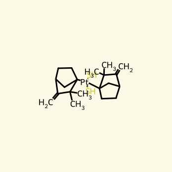 C=C1C2CC[C]([Pt]([SH])([SH])[C]34CCC(C3)C(=C)C4(C)C)(C2)C1(C)C